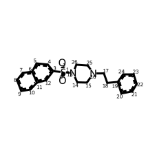 O=S(=O)(c1ccc2ccccc2c1)N1CCN(CCc2ccccc2)CC1